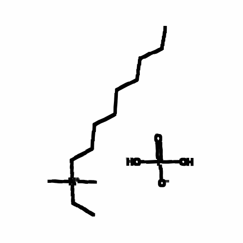 CCCCCCCCC[N+](C)(C)CC.O=P([O-])(O)O